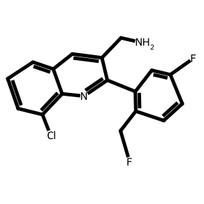 NCc1cc2cccc(Cl)c2nc1-c1cc(F)ccc1CF